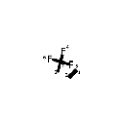 C=C.CC(F)(F)F